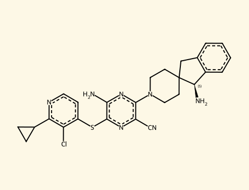 N#Cc1nc(Sc2ccnc(C3CC3)c2Cl)c(N)nc1N1CCC2(CC1)Cc1ccccc1[C@H]2N